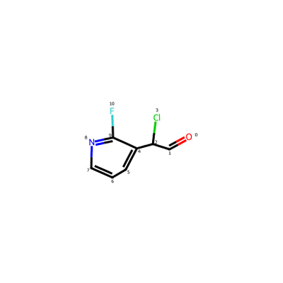 O=CC(Cl)c1cccnc1F